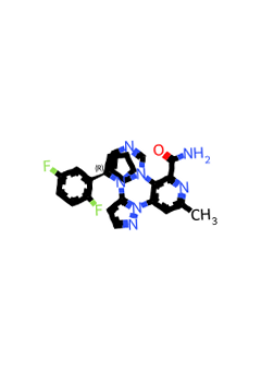 Cc1cc(-n2nccc2N2CCC[C@@H]2c2cc(F)ccc2F)c(N2C=NC=CC2)c(C(N)=O)n1